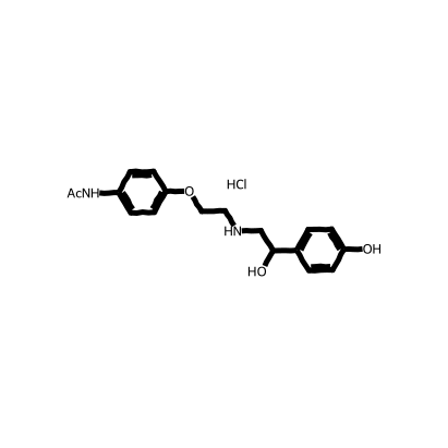 CC(=O)Nc1ccc(OCCNCC(O)c2ccc(O)cc2)cc1.Cl